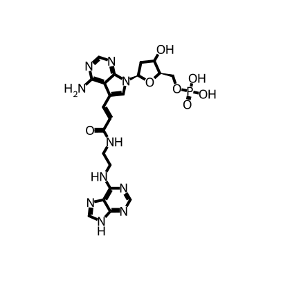 Nc1ncnc2c1c(/C=C/C(=O)NCCNc1ncnc3[nH]cnc13)cn2[C@H]1CC(O)[C@@H](COP(=O)(O)O)O1